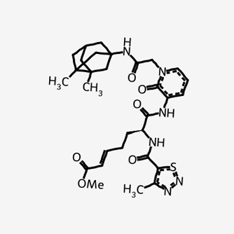 COC(=O)/C=C/CC[C@H](NC(=O)c1snnc1C)C(=O)Nc1cccn(CC(=O)NC23CC4CC(C)(C2)C(C)(C4)C3)c1=O